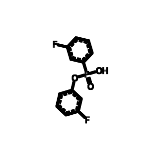 O=P(O)(Oc1cccc(F)c1)c1cccc(F)c1